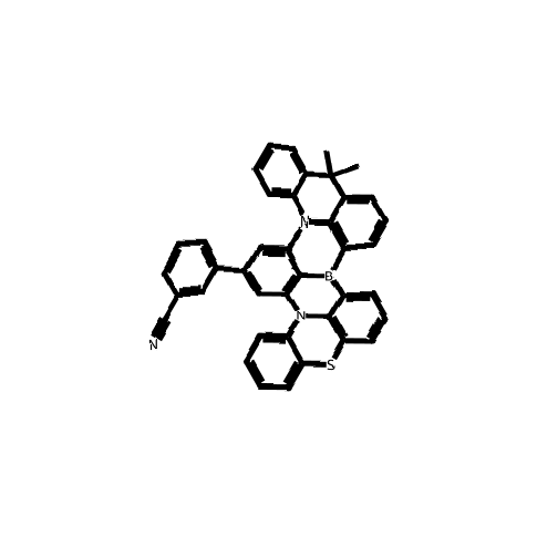 CC1(C)c2ccccc2N2c3cc(-c4cccc(C#N)c4)cc4c3B(c3cccc5c3N4c3ccccc3S5)c3cccc1c32